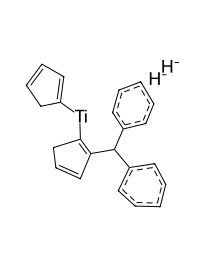 C1=CC[C]([Ti][C]2=C(C(c3ccccc3)c3ccccc3)C=CC2)=C1.[H-].[H-]